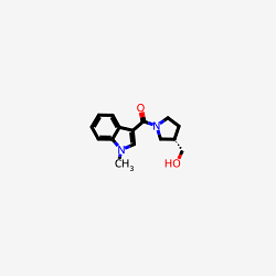 Cn1cc(C(=O)N2CC[C@H](CO)C2)c2ccccc21